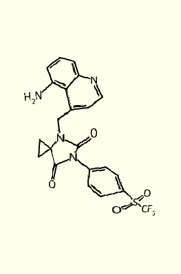 Nc1cccc2nccc(CN3C(=O)N(c4ccc(S(=O)(=O)C(F)(F)F)cc4)C(=O)C34CC4)c12